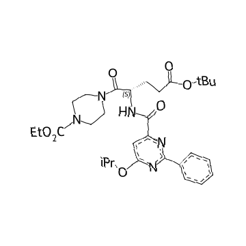 CCOC(=O)N1CCN(C(=O)[C@H](CCC(=O)OC(C)(C)C)NC(=O)c2cc(OC(C)C)nc(-c3ccccc3)n2)CC1